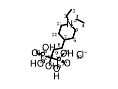 CC[N+]1(CC)CCC(CCC(O)(P(=O)(O)O)P(=O)(O)O)CC1.[Cl-]